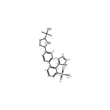 CC(C)(O)C1CCC(c2ccc(-c3cccc(S(N)(=O)=O)c3-c3nnn[nH]3)cn2)N1